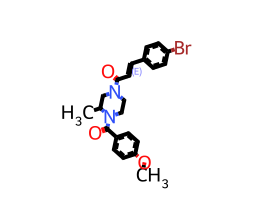 COc1ccc(C(=O)N2CCN(C(=O)/C=C/c3ccc(Br)cc3)CC2C)cc1